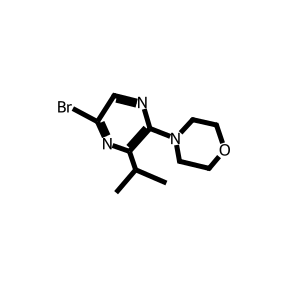 CC(C)c1nc(Br)cnc1N1CCOCC1